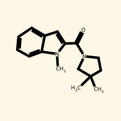 Cn1c(C(=O)N2[CH]CC(C)(C)C2)cc2ccccc21